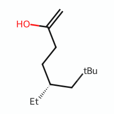 C=C(O)CC[C@@H](CC)CC(C)(C)C